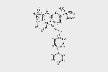 CCCCCCC(C)(C)c1cc(OCc2ccc(-c3ccccc3)cc2)c2c(c1)OC(C)(C)[C@@H]1CCC=C[C@@H]21